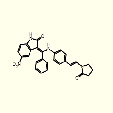 O=C1Nc2ccc([N+](=O)[O-])cc2/C1=C(/Nc1ccc(/C=C/N2CCCC2=O)cc1)c1ccccc1